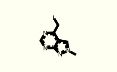 Cn1cc2c(CI)ncnc2n1